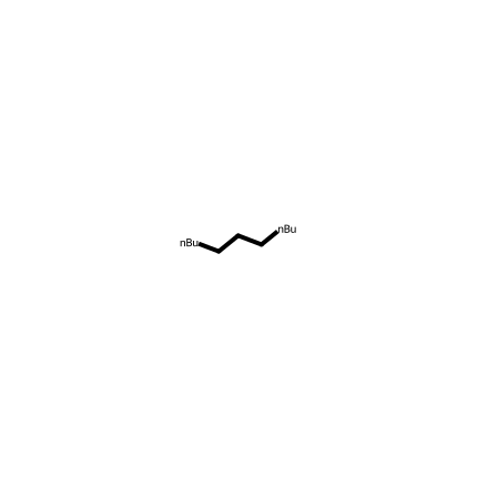 CC[CH]CCCCCCCC